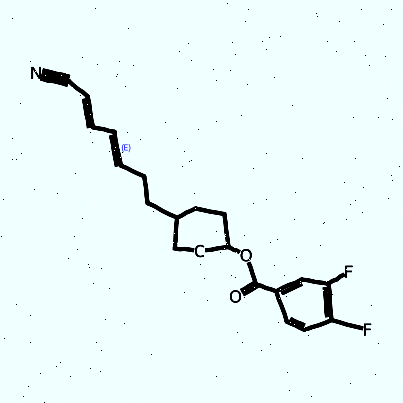 N#CC=C/C=C/CCC1CCC(OC(=O)c2ccc(F)c(F)c2)CC1